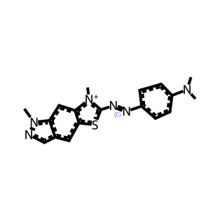 CN(C)c1ccc(/N=N/c2sc3cc4cnn(C)c4cc3[n+]2C)cc1